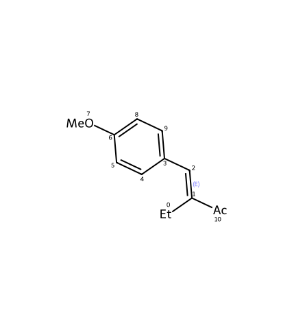 CC/C(=C\c1ccc(OC)cc1)C(C)=O